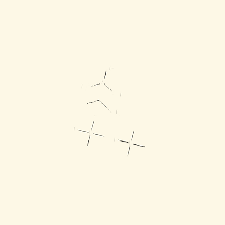 CC[NH3+].C[NH+](C)C.F[B-](F)(F)F.F[B-](F)(F)F